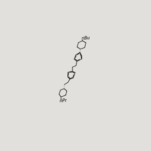 CCCC[C@H]1CC[C@H](c2ccc(CCc3ccc(CC[C@H]4CC[C@H](CCC)CC4)cc3)cc2)CC1